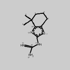 CC1(C)CCCc2sc(NC(=N)N)nc21